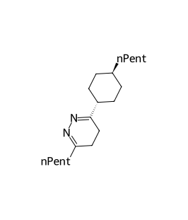 CCCCCC1=NN=C([C@H]2CC[C@H](CCCCC)CC2)CC1